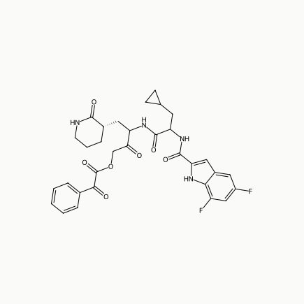 O=C(OCC(=O)C(C[C@@H]1CCCNC1=O)NC(=O)C(CC1CC1)NC(=O)c1cc2cc(F)cc(F)c2[nH]1)C(=O)c1ccccc1